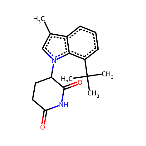 Cc1cn(C2CCC(=O)NC2=O)c2c(C(C)(C)C)cccc12